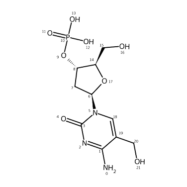 Nc1nc(=O)n([C@H]2C[C@H](OP(=O)(O)O)[C@@H](CO)O2)cc1CO